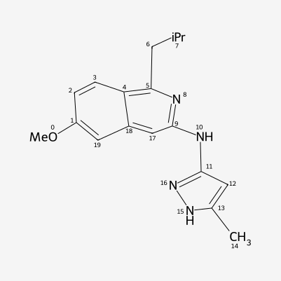 COc1ccc2c(CC(C)C)nc(Nc3cc(C)[nH]n3)cc2c1